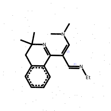 CC/N=C/C(=C/N(C)C)C1=NC(C)(C)Cc2ccccc21